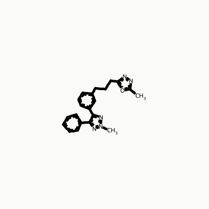 Cc1nnc(CCCc2cccc(-c3nn(C)nc3-c3ccccc3)c2)o1